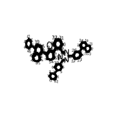 c1ccc(-c2ccc(-c3nc(-c4cccc(-c5cccc6ccccc56)c4)nc(-c4cccc5oc6c(-c7ccc(-c8ccccc8)c8ccccc78)cccc6c45)n3)cc2)cc1